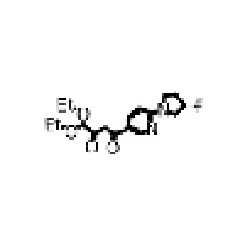 CCOC(OCC)C(=O)CC(=O)c1ccc(N2CC[C@H](F)C2)nc1